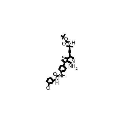 CC(C)(C#Cc1cnc(N)c2c(-c3ccc(NC(=O)Nc4cccc(Cl)c4)cc3)csc12)NC(=O)OC(C)(C)C